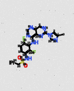 Cc1cn(-c2ncc3ncnc(Nc4c(F)ccc(NS(=O)(=O)CC(C)C)c4F)c3n2)cn1